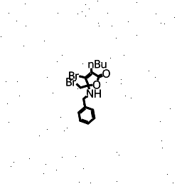 CCCCC1=C(Br)C(CBr)(NCc2ccccc2)OC1=O